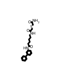 NC(=O)CSCC(=O)NCCCCCC(=O)Nc1cccc(-c2ccccc2)c1